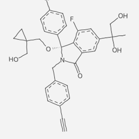 C#Cc1ccc(CN2C(=O)c3cc(C(C)(O)CO)cc(F)c3[C@]2(OCC2(CO)CC2)c2ccc(Cl)cc2)cc1